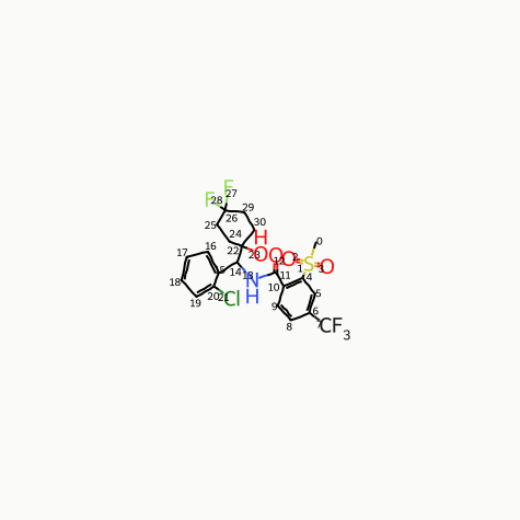 CS(=O)(=O)c1cc(C(F)(F)F)ccc1C(=O)NC(c1ccccc1Cl)C1(O)CCC(F)(F)CC1